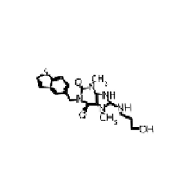 CN1C(=O)N(Cc2ccc3sccc3c2)C(=O)C2C1NC(NCCCO)N2C